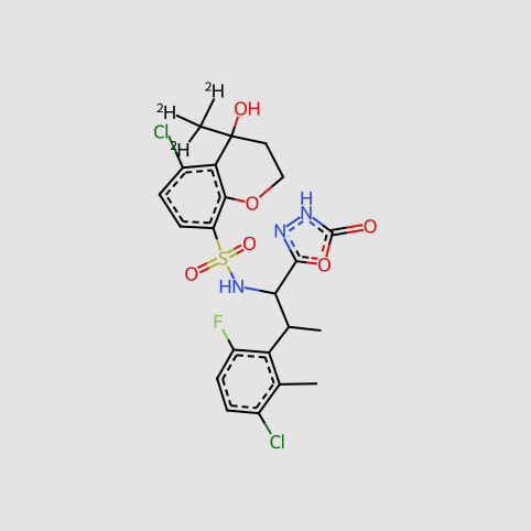 [2H]C([2H])([2H])C1(O)CCOc2c(S(=O)(=O)NC(c3n[nH]c(=O)o3)C(C)c3c(F)ccc(Cl)c3C)ccc(Cl)c21